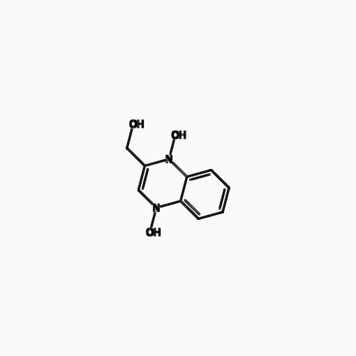 OCC1=CN(O)c2ccccc2N1O